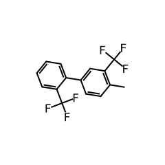 Cc1ccc(-c2ccccc2C(F)(F)F)cc1C(F)(F)F